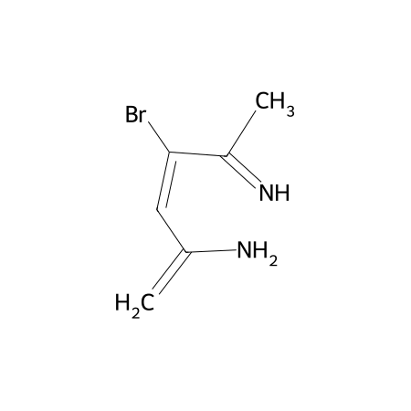 C=C(N)/C=C(/Br)C(C)=N